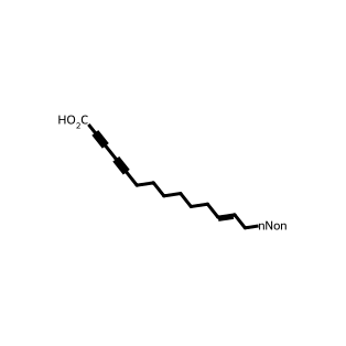 CCCCCCCCCCC=CCCCCCCC#CC#CC(=O)O